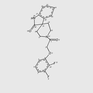 O=C(COc1cccc(F)c1F)N1CCC2(CC1)C(=O)Nc1ccccc12